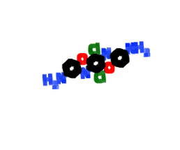 Nc1ccc2c(c1)N=c1c(Cl)c3c(c(Cl)c1O2)=Nc1cc(N)ccc1O3